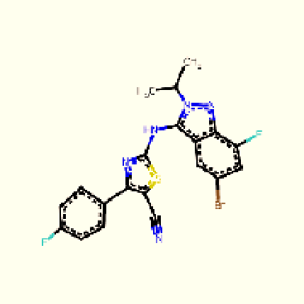 CC(C)n1nc2c(F)cc(Br)cc2c1Nc1nc(-c2ccc(F)cc2)c(C#N)s1